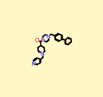 O=C(C1CCN(Cc2ccncc2)CC1)N1CCN(Cc2ccc(-c3ccccc3)cc2)CC1